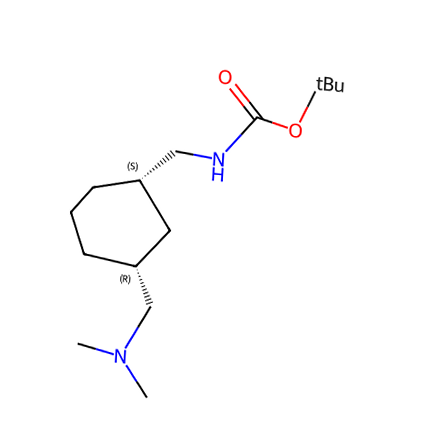 CN(C)C[C@@H]1CCC[C@H](CNC(=O)OC(C)(C)C)C1